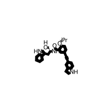 CC(C)Oc1ccc(C#Cc2ccc3[nH]ccc3c2)cc1C(=O)N[C@@H](CO)Cc1c[nH]c2ccccc12